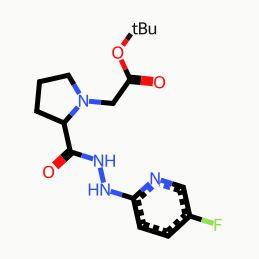 CC(C)(C)OC(=O)CN1CCCC1C(=O)NNc1ccc(F)cn1